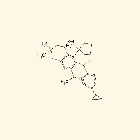 CC(C)c1nc2c(c(C3(C)CCCC3)c1[C@H](I)c1ccc(C3CC3)cc1)[C@@H](O)CC(C)(C)C2